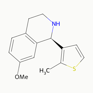 COc1ccc2c(c1)[C@H](c1ccsc1C)NCC2